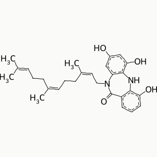 CC(C)=CCCC(C)=CCCC(C)=CCN1C(=O)c2cccc(O)c2Nc2c(O)cc(O)cc21